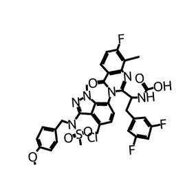 COc1ccc(CN(c2nn(C)c3c(-n4c(C(Cc5cc(F)cc(F)c5)NC(=O)O)nc5c(C)c(F)ccc5c4=O)ccc(Cl)c23)S(C)(=O)=O)cc1